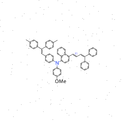 COc1ccc(N(c2ccc(C=C(c3ccc(C)cc3)c3ccc(C)cc3)cc2)c2ccc(/C=C/C=C(c3ccccc3)c3ccccc3)c3ccccc23)cc1